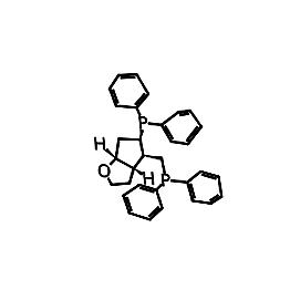 c1ccc(P(C[C@H]2[C@@H]3CCO[C@@H]3C[C@H]2P(c2ccccc2)c2ccccc2)c2ccccc2)cc1